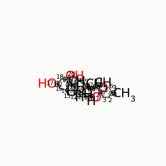 C[C@H]1CC[C@@]2(OC1)O[C@H]1C[C@H]3[C@@H]4CC=C5C[C@@H](O)C[C@@H](O)[C@]5(C)[C@H]4CC[C@]3(C)[C@H]1[C@@H]2C